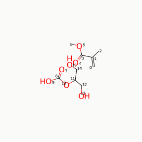 C=C(C)C(=O)OC.O=C(O)OC(CO)CO